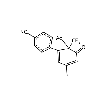 CC(=O)C1(C(F)(F)F)C(=O)[C]=C(C)C=C1c1ccc(C#N)cc1